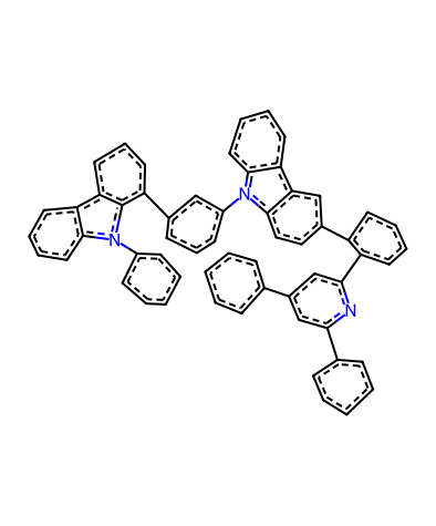 c1ccc(-c2cc(-c3ccccc3)nc(-c3ccccc3-c3ccc4c(c3)c3ccccc3n4-c3cccc(-c4cccc5c6ccccc6n(-c6ccccc6)c45)c3)c2)cc1